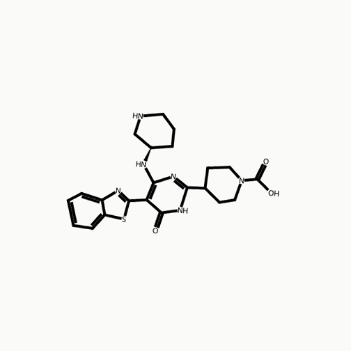 O=C(O)N1CCC(c2nc(N[C@@H]3CCCNC3)c(-c3nc4ccccc4s3)c(=O)[nH]2)CC1